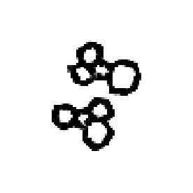 C1=CC=Cc2c(c3cccc4c3n2CC=N4)C=C1.C1=Cc2cccc3c4ccccc4n(c23)C=C1